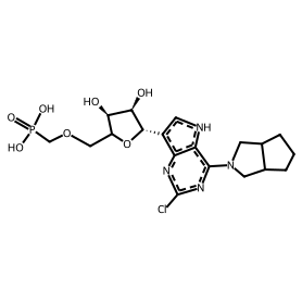 O=P(O)(O)COCC1O[C@@H](c2c[nH]c3c(N4CC5CCCC5C4)nc(Cl)nc23)[C@H](O)[C@@H]1O